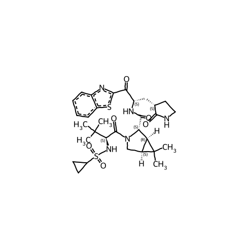 CC(C)(C)[C@H](NS(=O)(=O)C1CC1)C(=O)N1C[C@H]2[C@@H]([C@H]1C(=O)N[C@@H](C[C@@H]1CCNC1=O)C(=O)c1nc3ccccc3s1)C2(C)C